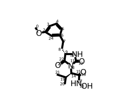 COc1cccc(CC[C@@H]2NC(=O)N([C@@H](C(=O)NO)C(C)C)C2=O)c1